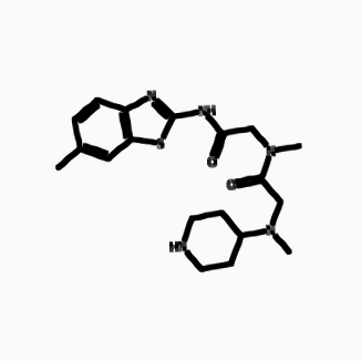 Cc1ccc2nc(NC(=O)CN(C)C(=O)CN(C)C3CCNCC3)sc2c1